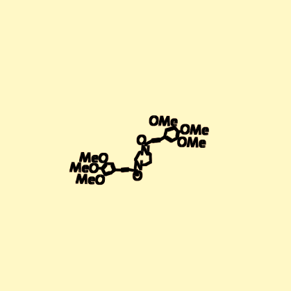 COc1cc(C#CC(=O)N2CCCN(C(=O)C#Cc3cc(OC)c(OC)c(OC)c3)CC2)cc(OC)c1OC